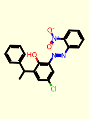 CC(c1ccccc1)c1cc(Cl)cc(N=Nc2ccccc2[N+](=O)[O-])c1O